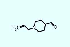 C=CCN1CCC(C=O)CC1